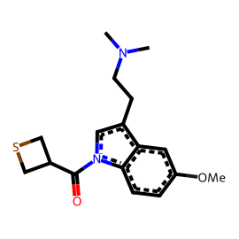 COc1ccc2c(c1)c(CCN(C)C)cn2C(=O)C1CSC1